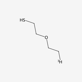 [3H]CCOCCS